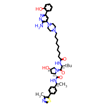 Cc1ncsc1-c1ccc([C@H](C)NC(=O)[C@@H]2C[C@@H](O)CN2C(=O)[C@@H](NC(=O)CCCCCCCCN2CCN(c3cc(-c4ccccc4O)nnc3N)CC2)C(C)(C)C)cc1